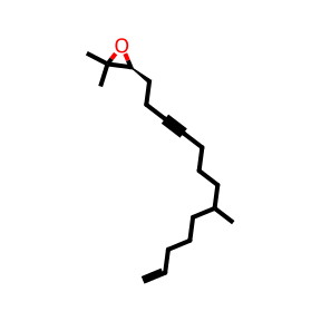 C=CCCCC(C)CCCC#CCC[C@@H]1OC1(C)C